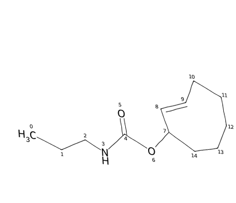 CCCNC(=O)OC1/C=C/CCCCC1